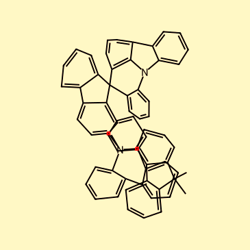 CC1(C)c2ccccc2-c2c(N(c3ccc4c(c3)C3(c5ccccc5-4)c4ccccc4-n4c5ccccc5c5cccc3c54)c3ccccc3-c3ccccc3-c3ccccc3)cccc21